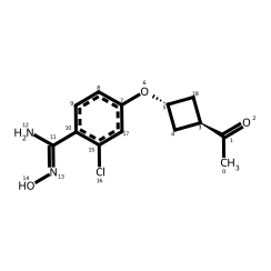 CC(=O)[C@H]1C[C@H](Oc2ccc(/C(N)=N/O)c(Cl)c2)C1